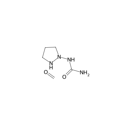 C=O.NC(=O)NN1CCCN1